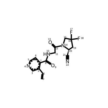 C=Cc1cnccc1C(=O)NCC(=O)N1CC(F)(F)C[C@H]1C#N